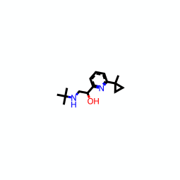 CC(C)(C)NCC(O)c1cccc(C2(C)CC2)n1